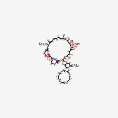 CO[C@H]1C[C@@H]2CC[C@@H](C)[C@@](O)(O2)C(=O)C(=O)N2CCCC[C@H]2C(=O)O[C@H]([C@H](C)C[C@@H]2CC[C@@H](OC3CCCCCCCCCCCCCC3)[C@H](OC)C2)CC(=O)[C@H](C)/C=C(\C)[C@@H](O)[C@@H](OC)C(=O)[C@H](C)C[C@H](C)/C=C/C=C/C=C/1C